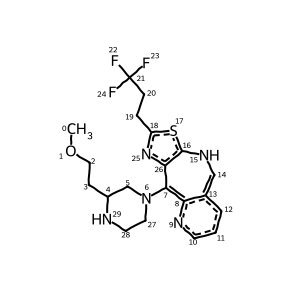 COCCC1CN(C2=c3ncccc3=CNc3sc(CCC(F)(F)F)nc32)CCN1